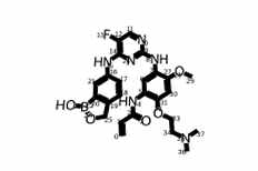 C=CC(=O)Nc1cc(Nc2ncc(F)c(Nc3ccc4c(c3)B(O)OC4)n2)c(OC)cc1OCCN(C)C